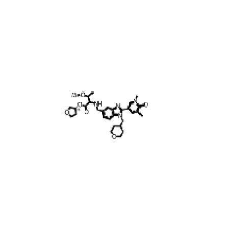 COC(C)C(NCc1ccc2c(c1)nc(-c1cc(C)c(=O)n(C)c1)n2CC1CCOCC1)C(=O)O[C@@H]1CCOC1